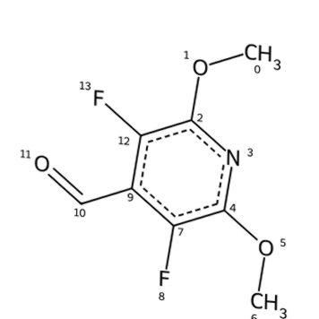 COc1nc(OC)c(F)c(C=O)c1F